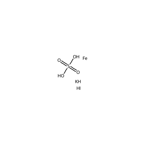 I.O=S(=O)(O)O.[Fe].[KH]